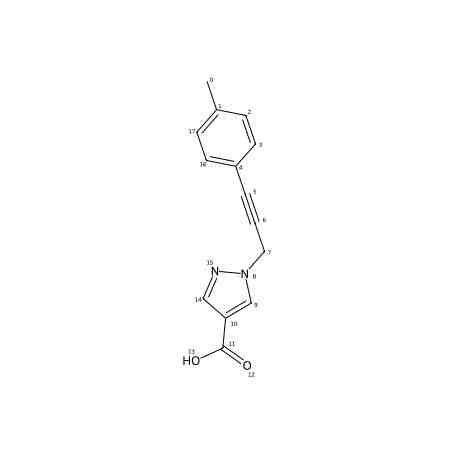 Cc1ccc(C#CCn2cc(C(=O)O)cn2)cc1